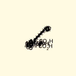 CCC[C@H]1C(=O)N(S(C)(=O)=O)[C@H]2CCN(C(=O)CCCCCCCCCN3CCOCC3)[C@H]12.O=C(O)C(O)C(O)C(=O)O